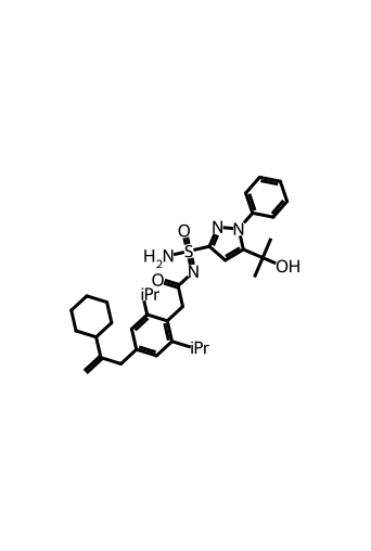 C=C(Cc1cc(C(C)C)c(CC(=O)N=S(N)(=O)c2cc(C(C)(C)O)n(-c3ccccc3)n2)c(C(C)C)c1)C1CCCCC1